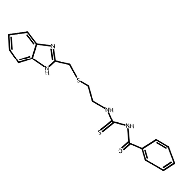 O=C(NC(=S)NCCSCc1nc2ccccc2[nH]1)c1ccccc1